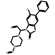 O=CC(N1CCN(N=O)CC1)n1c(=O)sc2cc(-c3ccccc3)c(Cl)cc21